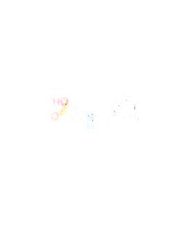 O=[PH](O)CCNCCc1ccccc1